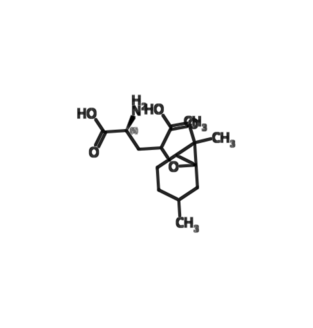 CC1CCC2C(C)(C)C2(OC(C[C@H](N)C(=O)O)C(=O)O)C1